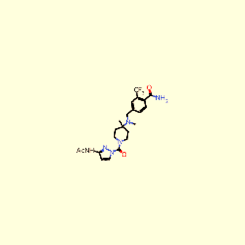 CC(=O)Nc1ccn(C(=O)N2CCC(C)(N(C)Cc3ccc(C(N)=O)c(C(F)(F)F)c3)CC2)n1